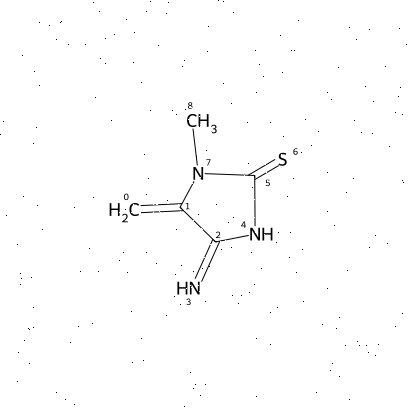 C=C1C(=N)NC(=S)N1C